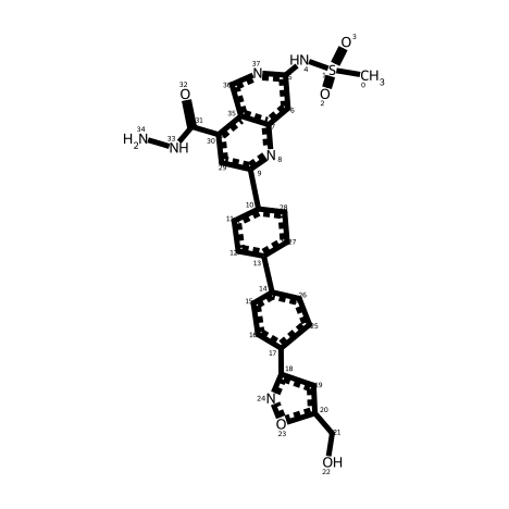 CS(=O)(=O)Nc1cc2nc(-c3ccc(-c4ccc(-c5cc(CO)on5)cc4)cc3)cc(C(=O)NN)c2cn1